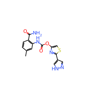 Cc1ccc(C(N)=O)c(NC(=O)Oc2csc(-c3cn[nH]c3)n2)c1